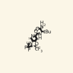 CC(C)(C)C(NC(=O)c1cc(OCC(F)(F)F)c(N2CC(F)(F)C2)cn1)C(N)=O